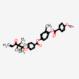 C=CC(=O)C(C)(C)C(C)(C)Oc1ccc(C(=O)Oc2ccc(OC(=O)c3ccc(OC(C)C)cc3)c(C)c2)cc1